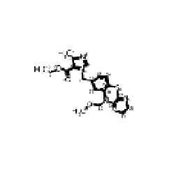 CCOC(=O)c1c(C)ncn1Cc1ccc2c(c1)N(COC)c1nccnc1S2